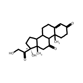 CC12CCC(=O)C=C1CCC1C2C(=O)CC2(C)C1CC[C@]2(O)C(=O)CO